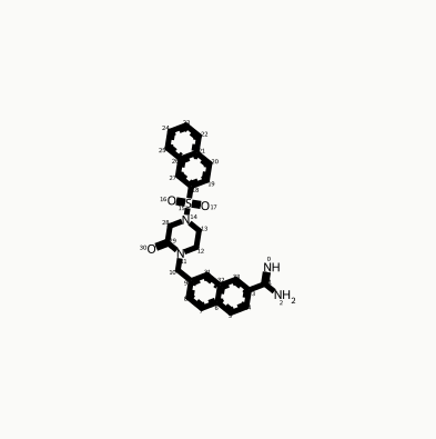 N=C(N)c1ccc2ccc(CN3CCN(S(=O)(=O)c4ccc5ccccc5c4)CC3=O)cc2c1